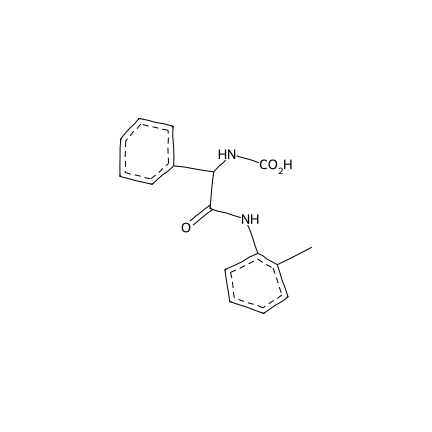 Cc1ccccc1NC(=O)C(NC(=O)O)c1ccccc1